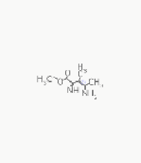 CCOC(=O)C(=N)/C(C)=C(/C)N